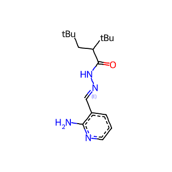 CC(C)(C)CC(C(=O)N/N=C/c1cccnc1N)C(C)(C)C